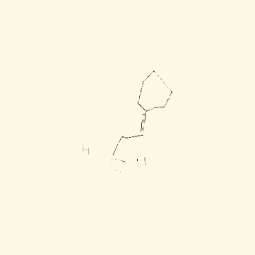 C[Si](C)(C)CC=C1CCCCC1